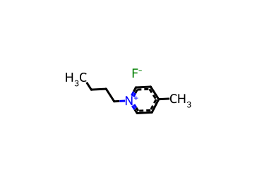 CCCC[n+]1ccc(C)cc1.[F-]